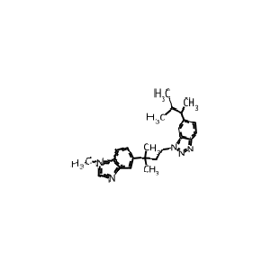 CC(C)C(C)c1ccc2nnn(CCC(C)(C)c3ccc4c(c3)ncn4C)c2c1